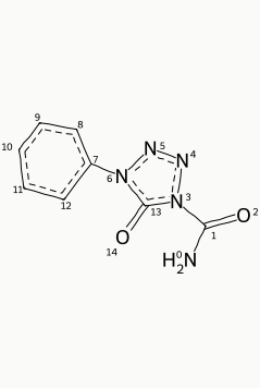 NC(=O)n1nnn(-c2ccccc2)c1=O